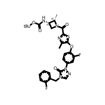 Cc1nc(C(=O)N2C[C@H](NC(=O)OC(C)(C)C)[C@@H]2C)sc1Oc1ccc(-n2ncn(Cc3ccccc3F)c2=O)cc1F